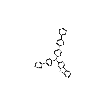 C1=CC(N(c2ccc(-c3ccccc3)cc2)c2ccc3c(c2)oc2ccccc23)CC=C1c1ccc(-c2ccccc2)cc1